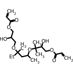 C=CC(=O)OCC(O)COC(C)(CC)CC(C)OC(C)(C)C(O)COC(=O)C=C